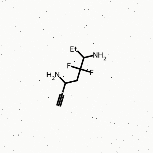 C#CC(N)CC(F)(F)C(N)CC